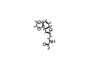 CC(=O)NCCc1cc2c3c(ccc2o1)OCCO3